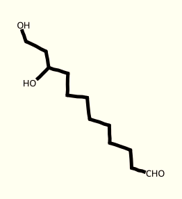 O=CCCCCCCCCC(O)CCO